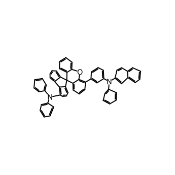 c1ccc(N(c2cccc(-c3cccc4c3Oc3ccccc3C43c4ccccc4-c4c(N(c5ccccc5)c5ccccc5)cccc43)c2)c2ccc3ccccc3c2)cc1